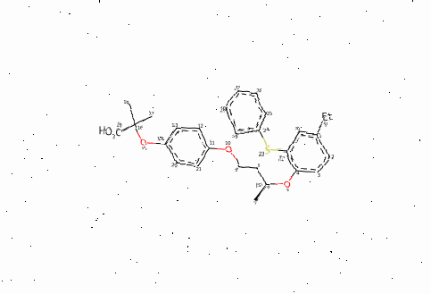 CCc1ccc(O[C@@H](C)CCOc2ccc(OC(C)(C)C(=O)O)cc2)c(Sc2ccccc2)c1